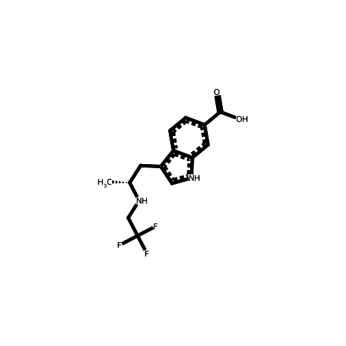 C[C@H](Cc1c[nH]c2cc(C(=O)O)ccc12)NCC(F)(F)F